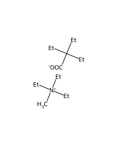 CCC(CC)(CC)C(=O)[O-].CC[N+](C)(CC)CC